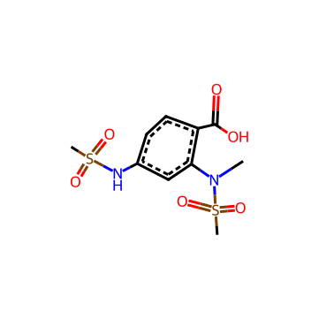 CN(c1cc(NS(C)(=O)=O)ccc1C(=O)O)S(C)(=O)=O